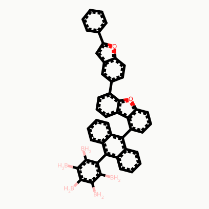 Bc1c(B)c(B)c(-c2c3ccccc3c(-c3cccc4oc5c(-c6ccc7oc(-c8ccccc8)cc7c6)cccc5c34)c3ccccc23)c(B)c1B